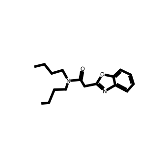 CCCCN(CCCC)C(=O)Cc1nc2ccccc2o1